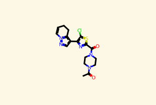 CC(=O)N1CCN(C(=O)c2nc(-c3cnn4c3CCC=C4)c(Cl)s2)CC1